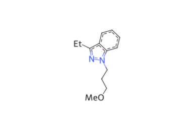 CCc1nn(CCCOC)c2ccccc12